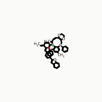 C=C1/C=C\C2=C(CN(c3ccccc3)c3cc(C)cc4c3B1C(/C=C\C(=C/C)c1cc3ccccc3o1)=CN4c1cccc(-c3cc4ccccc4o3)c1)OCCO2